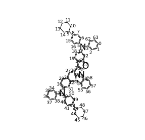 c1ccc(N(c2ccc(C3CCCCC3)cc2)c2ccc3c(c2)oc2c3c3cc4ccc(N(c5ccccc5)c5ccc(C6CCCCC6)cc5)cc4c4c5ccccc5n2c34)cc1